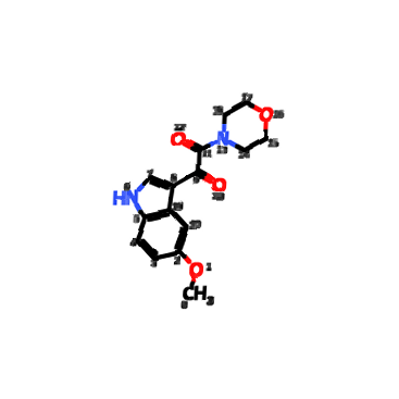 COc1ccc2[nH]cc(C(=O)C(=O)N3CCOCC3)c2c1